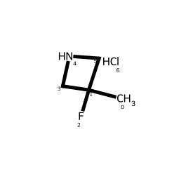 CC1(F)CNC1.Cl